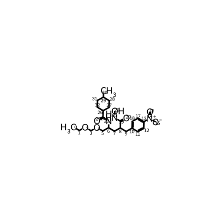 CCOCOCC(CC(Cc1ccc([N+](=O)[O-])cc1)C(=O)NO)NC(=O)C1CCC(C)CC1